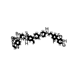 CCc1cc(Nc2ncc(Br)c(Nc3ccc4nccnc4c3P(C)(C)=O)n2)c(OC)cc1N1CCC(N2CCC(NCCc3cc(F)c(C4CCC(=O)NC4=O)c(F)c3)CC2)CC1